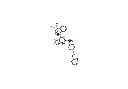 CC(C)S(=O)(=O)c1ccccc1Nc1nc(Nc2ccc(OCc3ccccn3)cc2)nc2ccsc12